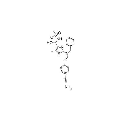 Cc1sc(N(CCc2ccc(C#CN)cc2)Cc2ccccc2)nc1C(O)NS(C)(=O)=O